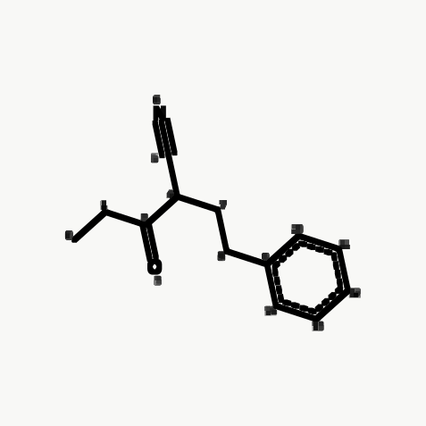 CCC(=O)C(C#N)CCc1ccccc1